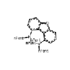 CCCCCN(CCCCC)c1cccc2oc3cccc(N(CCCCC)CCCCC)c3c12